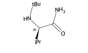 CC(C)[C@@H](NC(C)(C)C)C(N)=O